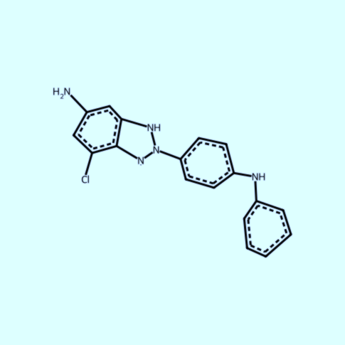 Nc1cc(Cl)c2c(c1)NN(c1ccc(Nc3ccccc3)cc1)[N]2